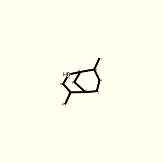 CC1CCC2CC1BCC2C